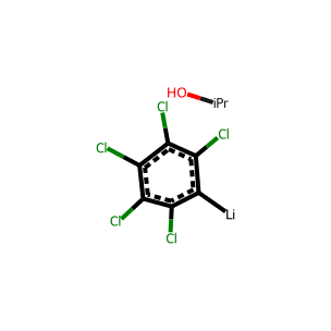 CC(C)O.[Li][c]1c(Cl)c(Cl)c(Cl)c(Cl)c1Cl